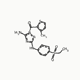 CCS(=O)(=O)c1ccc(Nc2nc(N)n(C(=O)c3sccc3C)n2)cc1